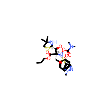 CCCOC(=O)[C@@](Cc1ccccc1)(C(=O)[C@H]1NC(C)(C)CS1)N(OC(=O)N(C)C)S(=O)(=O)c1cnn(C)c1